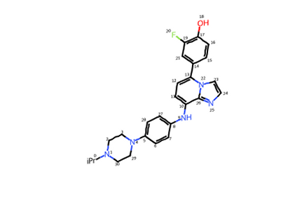 CC(C)N1CCN(c2ccc(Nc3ccc(-c4ccc(O)c(F)c4)n4ccnc34)cc2)CC1